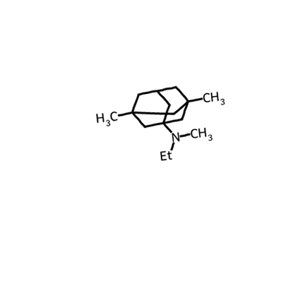 CCN(C)C12CC3CC(C)(CC(C)(C3)C1)C2